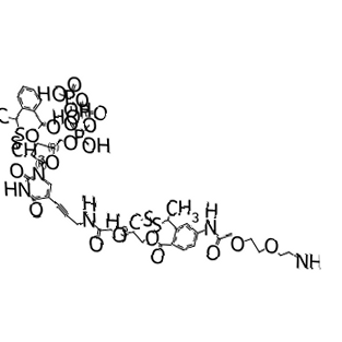 CSSC(C)c1cc(NC(=O)COCCOCCN)ccc1C(=O)OCCOCC(=O)NCC#Cc1cn([C@H]2CC(OC(=O)c3ccccc3C(C)SSC)[C@@H](COP(=O)(O)OP(=O)(O)OP(=O)(O)O)O2)c(=O)[nH]c1=O